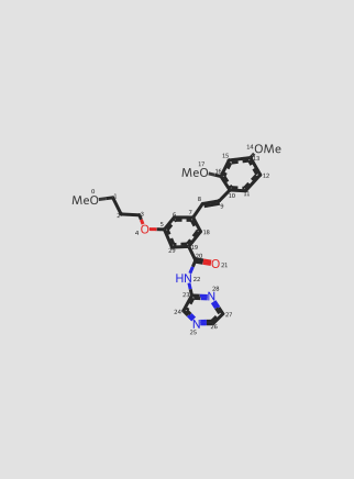 COCCCOc1cc(C=Cc2ccc(OC)cc2OC)cc(C(=O)Nc2cnccn2)c1